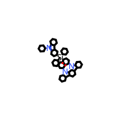 c1ccc(-n2c3ccccc3c3cc([Si](c4ccccc4)(c4ccccc4)c4ccc(-n5c6ccccc6c6ccc7c8ccccc8n(-c8ccccc8)c7c65)cc4)ccc32)cc1